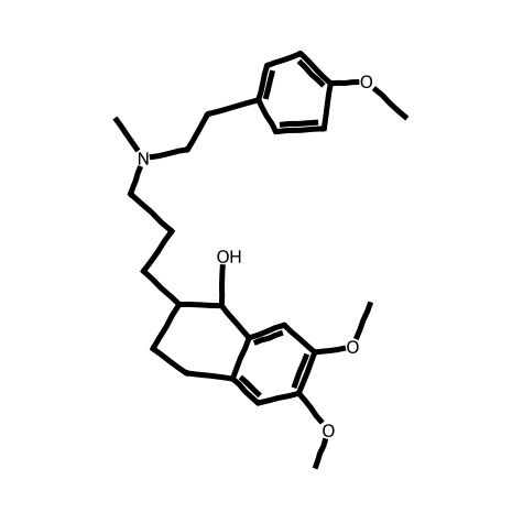 COc1ccc(CCN(C)CCCC2CCc3cc(OC)c(OC)cc3C2O)cc1